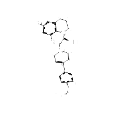 C=C(CN1CC=C(c2ccc(OC(F)(F)F)cc2)CC1)N1CCCc2cc(F)cc(N)c21